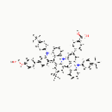 CC(C)(C)c1ccc(N2c3cc(-c4ccc(OC=O)cc4)ccc3B3c4cc(C(C)(C)C)cc5c4N(c4cccc2c43)c2cc(-c3ccc(C(=O)O)cc3)cc3c2B5c2ccccc2N3c2ccc(C(C)(C)C)cc2)cc1